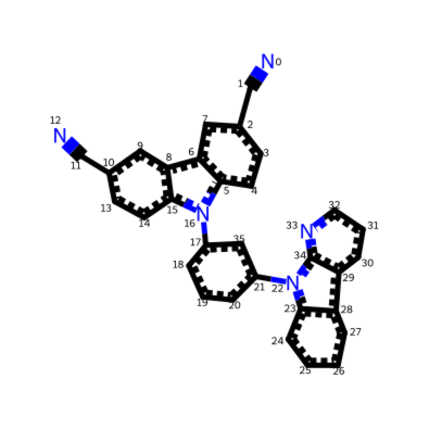 N#Cc1ccc2c(c1)c1cc(C#N)ccc1n2-c1cccc(-n2c3ccccc3c3cccnc32)c1